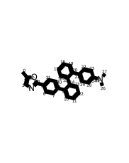 Cc1cnc(-c2ccc(-c3ccccc3-c3ccccc3-c3ccc(N(C)C)cc3)cc2)o1